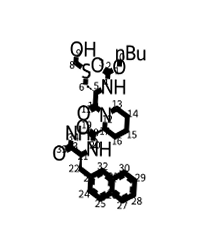 CCCCOC(=O)N[C@@H](CSCO)C(=O)N1CCCC[C@H]1C(=O)N[C@@H](Cc1ccc2ccccc2c1)C(N)=O